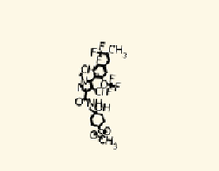 CCn1nc(C(=O)NCC2(O)CCC(S(C)(=O)=O)CC2)c(Cl)c1-c1ccc(CC(C)C(F)(F)F)cc1OC(F)(F)F